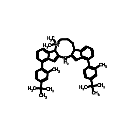 Cc1cc(C(C)(C)C)ccc1-c1cccc2c1C=C1[SiH2]C3=Cc4c(-c5ccc(C(C)(C)C)cc5C)cccc4[CH]3[Hf]([CH3])([CH3])[CH2]CCC12